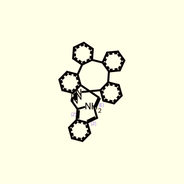 N/C1=c2/cccc/c2=C/C=C/C2(c3ccccc3-c3ccccc3-c3ccccc3-c3ccccc32)n2nnnc21